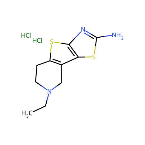 CCN1CCc2sc3nc(N)sc3c2C1.Cl.Cl